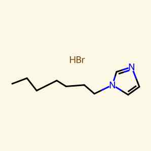 Br.CCCCCCCn1ccnc1